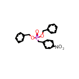 O=[N+]([O-])c1ccc(CP(=O)(OCc2ccccc2)OCc2ccccc2)cc1